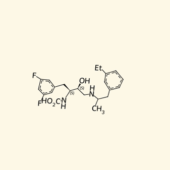 CCc1cccc(CC(C)NC[C@H](O)[C@H](Cc2cc(F)cc(F)c2)NC(=O)O)c1